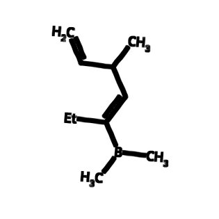 C=CC(C)/C=C(\CC)B(C)C